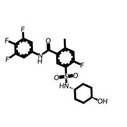 Cc1cc(F)c(S(=O)(=O)N[C@H]2CC[C@H](O)CC2)cc1C(=O)Nc1cc(F)c(F)c(F)c1